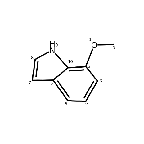 COc1c[c]cc2cc[nH]c12